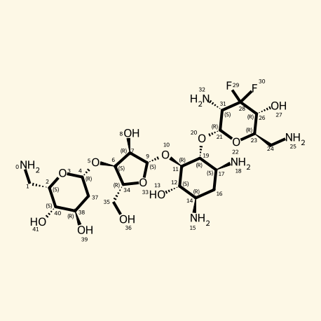 NC[C@@H]1O[C@H](O[C@H]2[C@@H](O)[C@H](O[C@@H]3[C@@H](O)[C@H](N)C[C@H](N)[C@H]3O[C@H]3O[C@H](CN)[C@@H](O)C(F)(F)[C@H]3N)O[C@@H]2CO)C[C@@H](O)[C@@H]1O